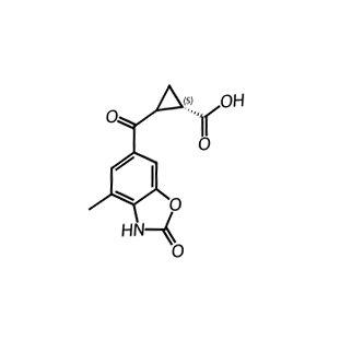 Cc1cc(C(=O)C2C[C@@H]2C(=O)O)cc2oc(=O)[nH]c12